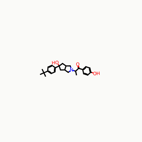 CC(C(=O)c1ccc(O)cc1)N1CC2CC(O)(c3ccc(C(C)(C)C)cc3)CC2C1